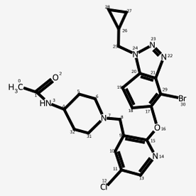 CC(=O)NC1CCN(Cc2cc(Cl)cnc2Oc2ccc3c(nnn3CC3CC3)c2Br)CC1